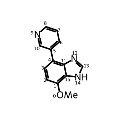 COc1ccc(-c2cccnc2)c2nc[nH]c12